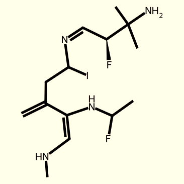 C=C(CC(I)/N=C\[C@H](F)C(C)(C)N)/C(=C\NC)NC(C)F